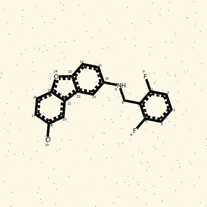 Fc1cccc(F)c1CNc1ccc2oc3ccc(Cl)cc3c2c1